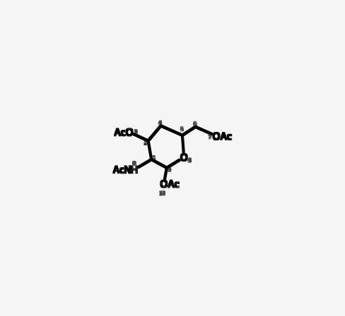 CC(=O)NC1C(OC(C)=O)CC(COC(C)=O)OC1OC(C)=O